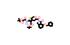 CC(C)(C)OC(=O)C(=O)Nc1sc2c(c1C(=O)OC(C)(C)C)CC(C(=O)N1Cc3cccc(OCc4ccccc4)c3C1=O)OC2